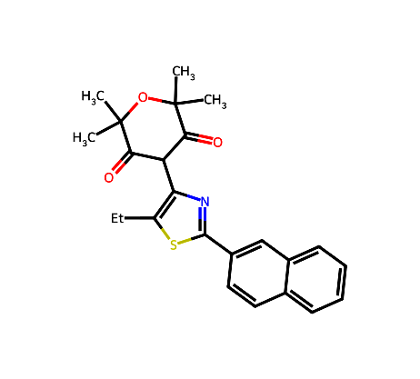 CCc1sc(-c2ccc3ccccc3c2)nc1C1C(=O)C(C)(C)OC(C)(C)C1=O